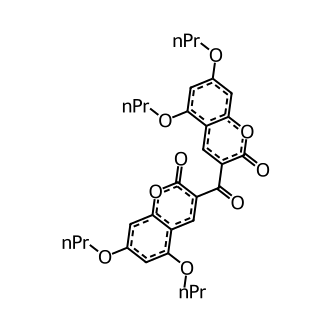 CCCOc1cc(OCCC)c2cc(C(=O)c3cc4c(OCCC)cc(OCCC)cc4oc3=O)c(=O)oc2c1